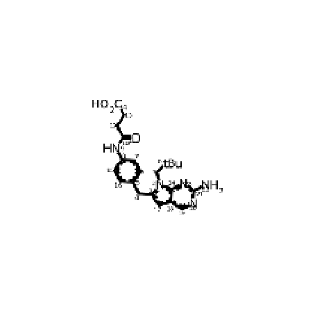 CC(C)(C)Cn1c(Cc2ccc(NC(=O)CCC(=O)O)cc2)cc2cnc(N)nc21